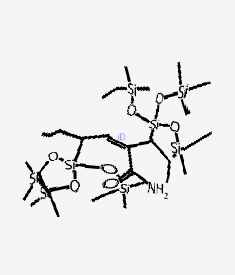 CCC(/C=C(\C(N)=O)C(CC)[Si](O[Si](C)(C)C)(O[Si](C)(C)C)O[Si](C)(C)C)[Si](O[Si](C)(C)C)(O[Si](C)(C)C)O[Si](C)(C)C